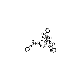 CC(OP(=O)(O)C(I)(CCCCNC(=O)OCc1ccccc1)NC(=O)c1ccccc1)C(=O)OC(=O)[C@@H]1CCCN1